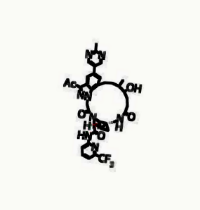 CC(=O)c1nn2c3c(cc(-c4cnc(C)nc4)cc13)CCC(C)C(O)CCC(=O)NC[C@]13C4C1[C@H]3N(C(=O)C2)[C@@H]4C(=O)Nc1cccc(C(F)(F)F)n1